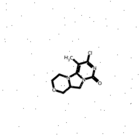 Cc1c(Cl)nc(=O)n2c1N1CCOCC1C2